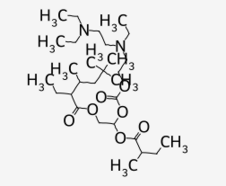 CCC(C)C(=O)OC(COC(=O)C(CC)C(C)CC(C)(C)C)OC(=O)OCCN(CC)CCN(CC)CC